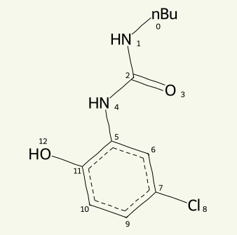 CCCCNC(=O)Nc1cc(Cl)ccc1O